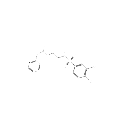 O=C(O)C(Cc1ccccc1)SCCNS(=O)(=O)c1ccc(Cl)c([N+](=O)[O-])c1